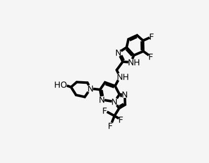 OC1CCN(c2cc(NCc3nc4ccc(F)c(F)c4[nH]3)c3ncc(C(F)(F)F)n3n2)CC1